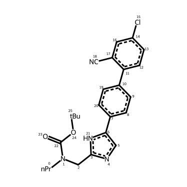 CCCN(Cc1ncc(-c2ccc(-c3ccc(Cl)cc3C#N)cc2)[nH]1)C(=O)OC(C)(C)C